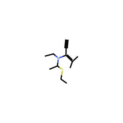 C#CC(=C(C)C)N(CC)C(C)SCC